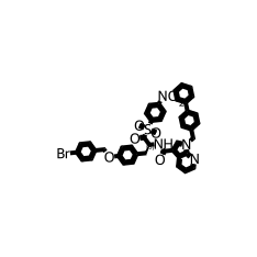 O=C(N[C@@H](Cc1ccc(OCc2ccc(Br)cc2)cc1)C(=O)S(=O)(=O)c1ccc([N+](=O)[O-])cc1)c1cn(Cc2ccc(-c3ccccc3)cc2)c2ncccc12